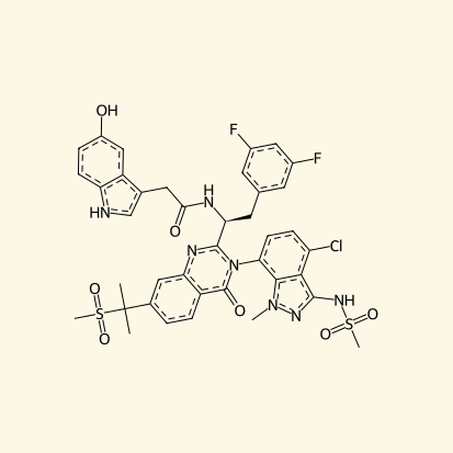 Cn1nc(NS(C)(=O)=O)c2c(Cl)ccc(-n3c([C@H](Cc4cc(F)cc(F)c4)NC(=O)Cc4c[nH]c5ccc(O)cc45)nc4cc(C(C)(C)S(C)(=O)=O)ccc4c3=O)c21